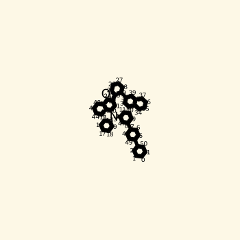 c1ccc(-c2ccc(-c3cccc(N(c4ccccc4)c4cc5c(oc6cccc(-c7ccc8ccccc8c7)c65)c5ccccc45)c3)cc2)cc1